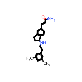 NC(=O)/C=C/c1ccc2c(c1)CCC2NCCc1cc(C(F)(F)F)cc(C(F)(F)F)c1